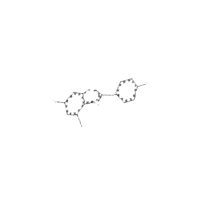 Cc1cc(N)cc2oc(-c3ccc(N)cc3)nc12